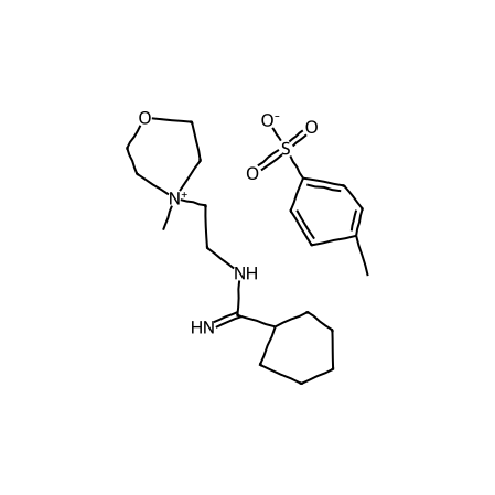 C[N+]1(CCNC(=N)C2CCCCC2)CCOCC1.Cc1ccc(S(=O)(=O)[O-])cc1